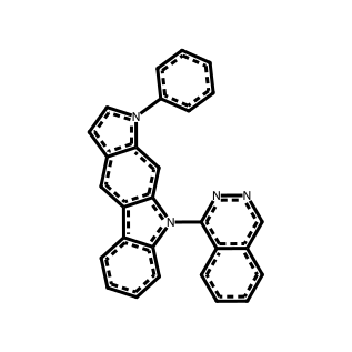 c1ccc(-n2ccc3cc4c5ccccc5n(-c5nncc6ccccc56)c4cc32)cc1